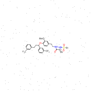 CCS(=O)(=O)N[C@H](C(=O)NCCc1ccc(OC(CCc2cccc(C(F)(F)F)c2)c2cccc(C(F)(F)F)c2)c(OC)c1)C(C)C